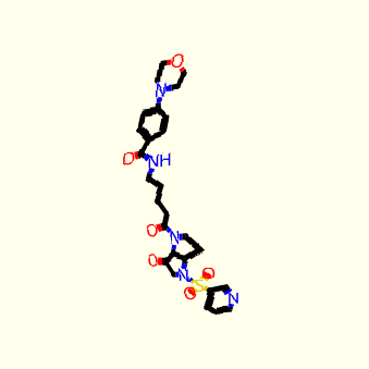 O=C(NCCCCC(=O)N1CCC2C1C(=O)CN2S(=O)(=O)c1cccnc1)c1ccc(N2CCOCC2)cc1